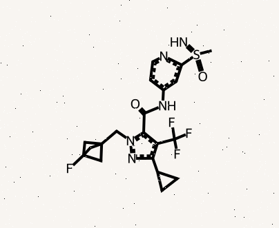 CS(=N)(=O)c1cc(NC(=O)c2c(C(F)(F)F)c(C3CC3)nn2CC23CC(F)(C2)C3)ccn1